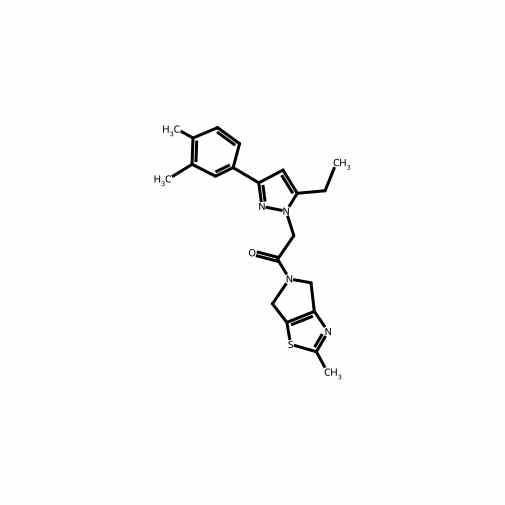 CCc1cc(-c2ccc(C)c(C)c2)nn1CC(=O)N1Cc2nc(C)sc2C1